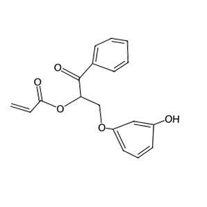 C=CC(=O)OC(COc1cccc(O)c1)C(=O)c1ccccc1